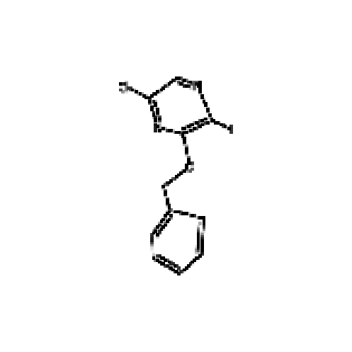 Clc1cnc(I)c(OCc2ccccc2)n1